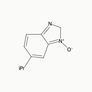 CC(C)c1ccc2c(c1)=[N+]([O-])CN=2